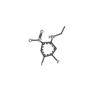 CCNc1cc(F)c(I)cc1[N+](=O)[O-]